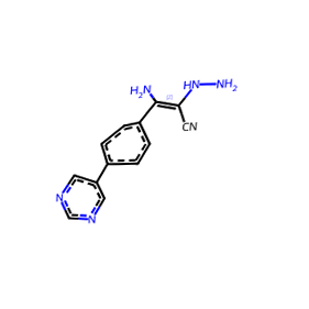 N#C/C(NN)=C(/N)c1ccc(-c2cncnc2)cc1